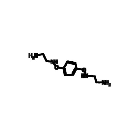 NCCNOc1ccc(ONCCN)cc1